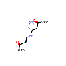 COC(=O)CCN[C@H](CN)CC(=O)OC